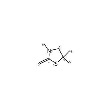 C=C1SC(C)(C)CN1C